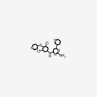 Nc1nc(Nc2cc(Cl)c(Sc3ccncc3)c(Cl)c2)cc(-c2cccnc2)n1